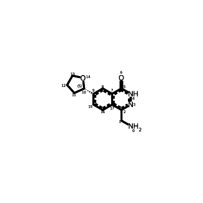 NCc1n[nH]c(=O)c2cc([C@@H]3CCCO3)ccc12